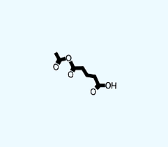 CC(=O)OC(=O)CCCC(=O)O